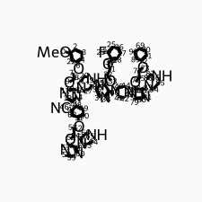 COc1cccc(OCCOc2nccnc2N2CCNCC2)c1.Fc1ccccc1OCCOc1nccnc1N1CCNCC1.N#Cc1cccc(OCCOc2nccnc2N2CCNCC2)c1.c1ccc(OCCOc2nccnc2N2CCNCC2)cc1